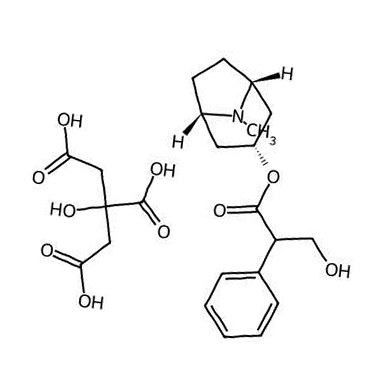 CN1[C@@H]2CC[C@H]1C[C@@H](OC(=O)C(CO)c1ccccc1)C2.O=C(O)CC(O)(CC(=O)O)C(=O)O